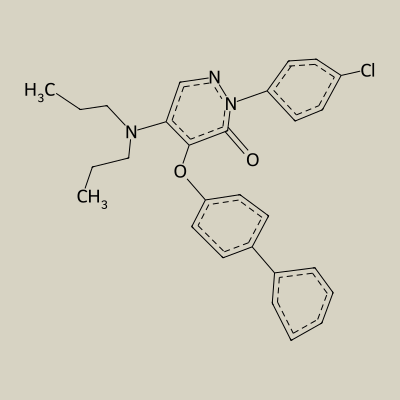 CCCN(CCC)c1cnn(-c2ccc(Cl)cc2)c(=O)c1Oc1ccc(-c2ccccc2)cc1